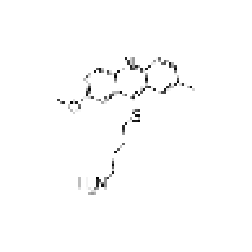 COc1ccc2nc3ccc(C)cc3c(SCCCCN)c2c1